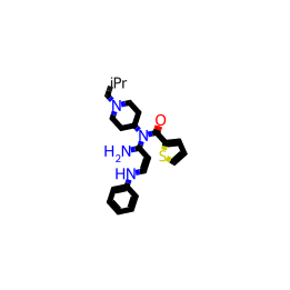 CC(C)CN1CCC(N(C(=O)c2cccs2)C(N)/C=C\Nc2ccccc2)CC1